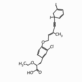 CCO[C@@H](Cc1ccc(OC/C=C(\C)C#CC2(I)C=CC=C(I)C2)c(Cl)c1)C(=O)O